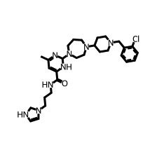 CC1=NC(N2CCCN(C3CCN(Cc4ccccc4Cl)CC3)CC2)NC(C(=O)NCCCN2C=CNC2)=C1